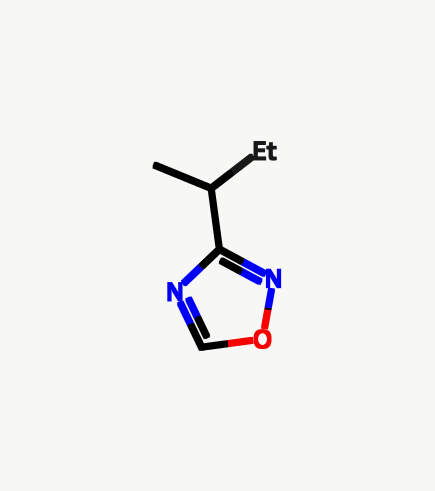 CCC(C)c1ncon1